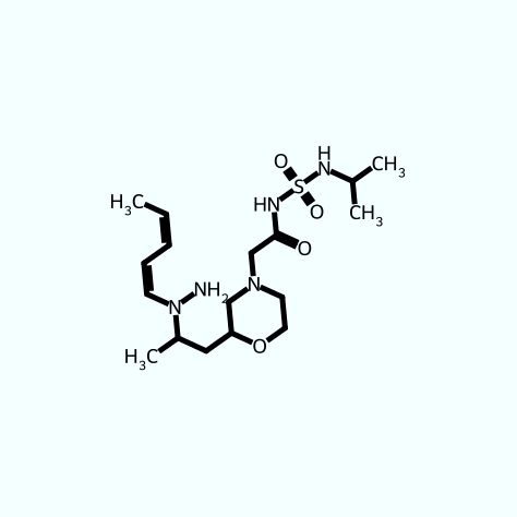 C/C=C\C=C/N(N)C(C)CC1CN(CC(=O)NS(=O)(=O)NC(C)C)CCO1